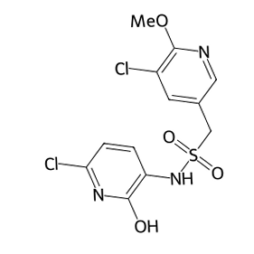 COc1ncc(CS(=O)(=O)Nc2ccc(Cl)nc2O)cc1Cl